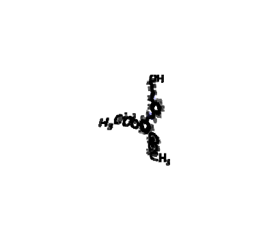 CCOCOc1cc(/C=C/c2cccc(/C=C/CCCO)c2)cc(OCOCC)c1